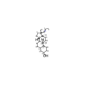 C/C=C/[C@@]1(C)CC[C@H]2C3CCC4CC(O)CC[C@]4(C)[C@H]3CC[C@@]21C